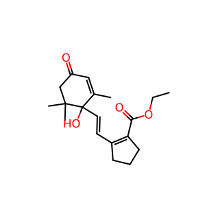 CCOC(=O)C1=C(C=CC2(O)C(C)=CC(=O)CC2(C)C)CCC1